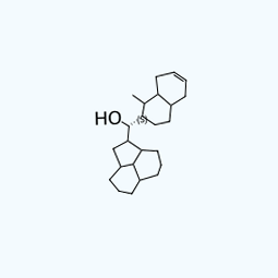 CC1C2CC=CCC2CC[C@@H]1C(O)C1CC2CCCC3CCCC1C32